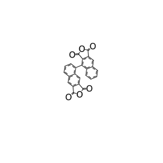 O=C1OC(=O)c2cc3c(-c4c5c(cc6ccccc46)C(=O)OC5=O)cccc3cc21